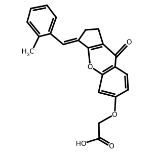 Cc1ccccc1C=C1CCc2c1oc1cc(OCC(=O)O)ccc1c2=O